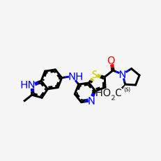 Cc1cc2cc(Nc3ccnc4cc(C(=O)N5CCC[C@H]5C(=O)O)sc34)ccc2[nH]1